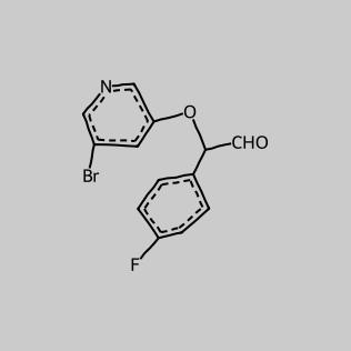 O=CC(Oc1cncc(Br)c1)c1ccc(F)cc1